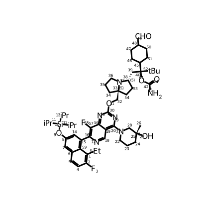 CCc1c(F)ccc2cc(O[Si](C(C)C)(C(C)C)C(C)C)cc(-c3ncc4c(N5CCC[C@@](C)(O)C5)nc(OC[C@@]56CCCN5[C@H](CC(OC(N)=O)(C5CCC(C=O)CC5)C(C)(C)C)CC6)nc4c3F)c12